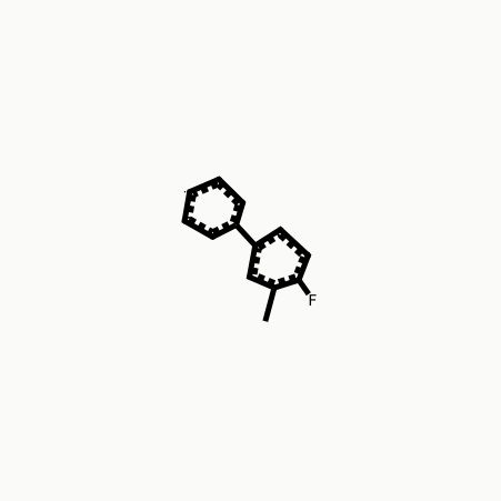 Cc1cc(-c2cc[c]cc2)ccc1F